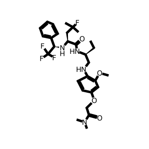 CC[C@@H](CNc1ccc(OCC(=O)N(C)C)cc1OC)NC(=O)[C@H](CC(C)(C)F)N[C@@H](c1ccccc1)C(F)(F)F